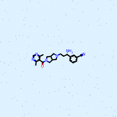 Cc1ncnc(C)c1C(=O)N1CC2CN(CC[C@H](N)c3cccc(C#N)c3)CC2C1